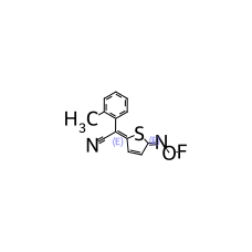 Cc1ccccc1/C(C#N)=C1C=C/C(=N\OF)S/1